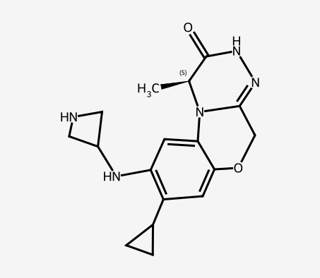 C[C@H]1C(=O)NN=C2COc3cc(C4CC4)c(NC4CNC4)cc3N21